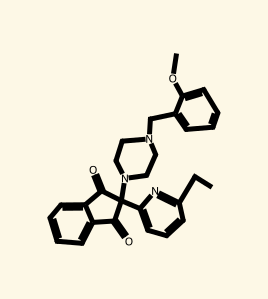 CCc1cccc(C2(N3CCN(Cc4ccccc4OC)CC3)C(=O)c3ccccc3C2=O)n1